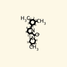 Cc1cc(C)cc(-c2cccc(C(=O)N3CCC(C)CC3)n2)c1